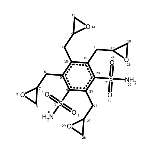 NS(=O)(=O)c1c(CC2CO2)c(CC2CO2)c(CC2CO2)c(S(N)(=O)=O)c1CC1CO1